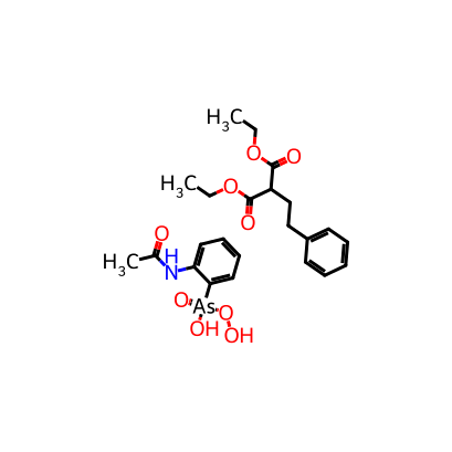 CC(=O)Nc1ccccc1[As](=O)(O)OO.CCOC(=O)C(CCc1ccccc1)C(=O)OCC